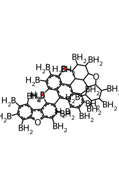 Bc1c(B)c(B)c2c(oc3c(B)c(B)c(-c4c5c(B)c(B)c(B)c(B)c5c(C5C(B)C(B)C(B)C6OC7C(B)C(B)C(B)C(B)C7C65)c5c(B)c(B)c(B)c(B)c45)c(B)c32)c1B